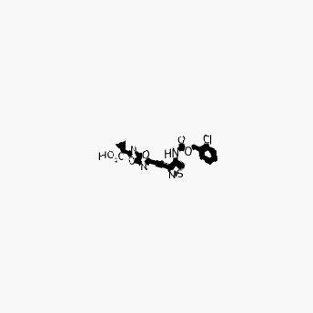 O=C(Nc1csnc1C#Cc1nc2oc(C3(C(=O)O)CC3)nc2o1)OCc1ccccc1Cl